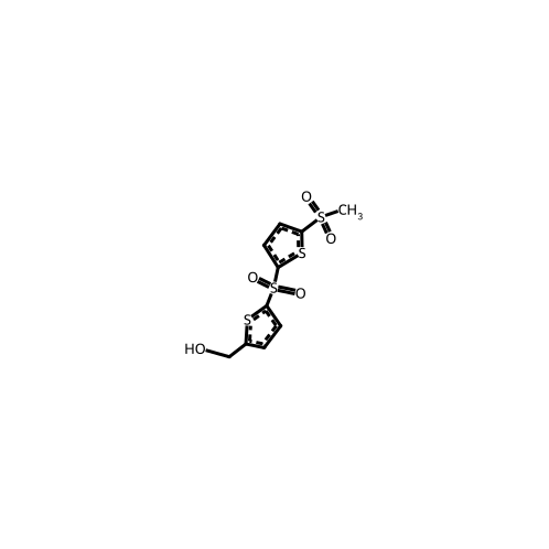 CS(=O)(=O)c1ccc(S(=O)(=O)c2ccc(CO)s2)s1